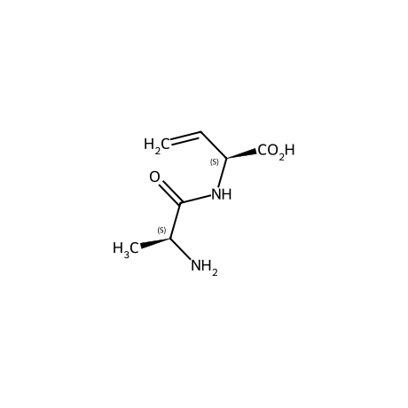 C=C[C@H](NC(=O)[C@H](C)N)C(=O)O